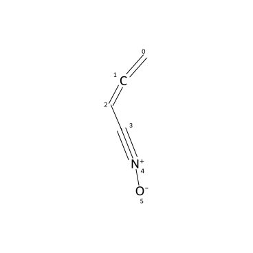 C=C=CC#[N+][O-]